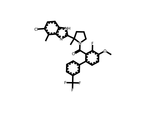 COc1ccc(-c2cccc(C(F)(F)F)c2)c(C(=O)N2CCCC2(C)c2nc3c(C)c(Cl)ccc3[nH]2)c1F